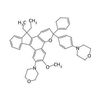 CCC1(CC)c2ccccc2-c2c1c1c(c3cc(OC)c(N4CCOCC4)cc23)OC(C2=CC=CCC2)(c2ccc(N3CCOCC3)cc2)C=C1